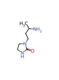 CC(N)CCN1CCNC1=O